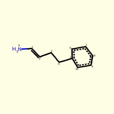 NC=CCCc1ccccc1